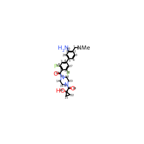 CNCc1ccc(-c2cc(F)c(C(=O)N3CCN(C(=O)C4(O)CC4)CC3)c(F)c2)cc1N